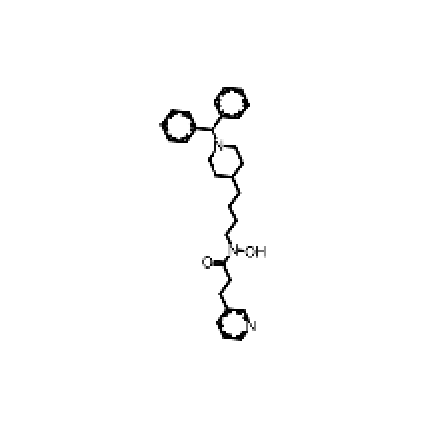 O=C(CCc1cccnc1)N(O)CCCCC1CCN(C(c2ccccc2)c2ccccc2)CC1